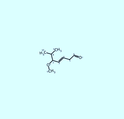 COC(C=CCC=O)C(C)C